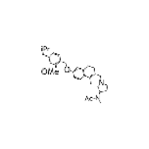 COc1cc(CC(C)C)ccc1COc1ccc2c(c1)CCC(CN1CCC(N(C)C(C)=O)C1)=C2C